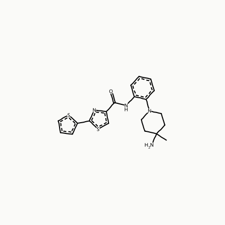 CC1(N)CCN(c2ccccc2NC(=O)c2csc(-c3cccs3)n2)CC1